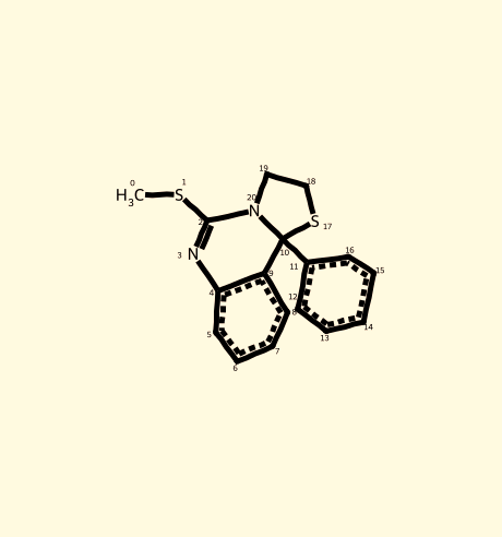 CSC1=Nc2ccccc2C2(c3ccccc3)SCCN12